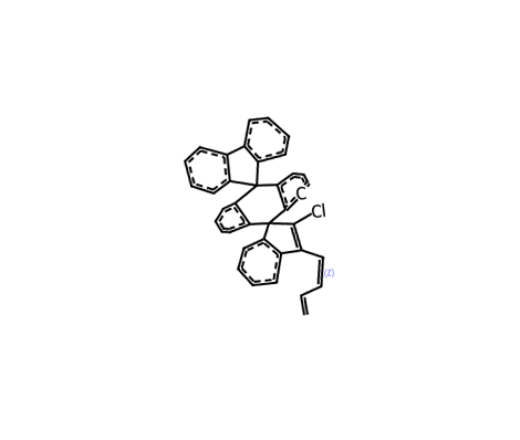 C=C/C=C\C1=C(Cl)C2(c3ccccc31)c1ccccc1C1(c3ccccc3-c3ccccc31)c1ccccc12